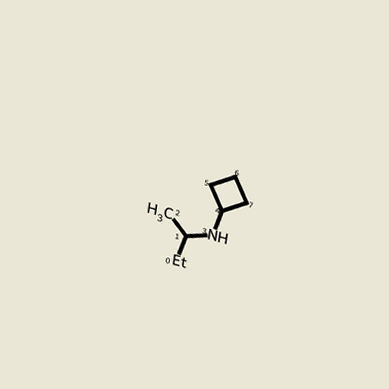 CCC(C)NC1CCC1